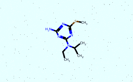 CCN(c1nc(N)nc(SC)n1)C(C)C